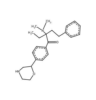 CCC(CCc1ccccc1)(C(=O)c1ccc(C2CNCCO2)cc1)N(C)C